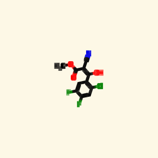 COC(=O)/C(C#N)=C(/O)c1cc(F)c(F)cc1Cl